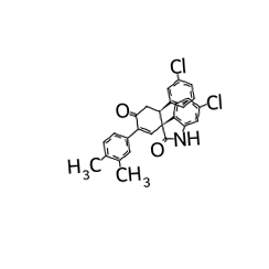 Cc1ccc(C2=C[C@@]3(C(=O)Nc4cc(Cl)ccc43)[C@H](c3cccc(Cl)c3)CC2=O)cc1C